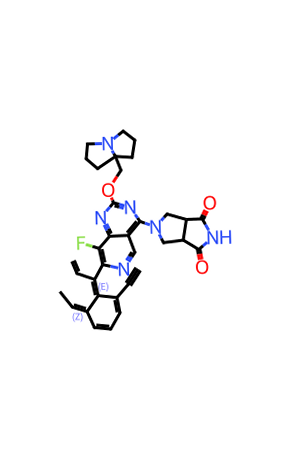 C#Cc1cccc(=C/C)/c1=C(\C=C)c1ncc2c(N3CC4C(=O)NC(=O)C4C3)nc(OCC34CCCN3CCC4)nc2c1F